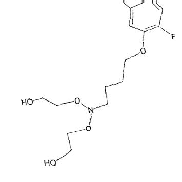 Cc1ccc(F)c(OCCCCN(OCCO)OCCO)c1